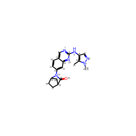 CCn1ncc(Nc2ncc3ccc(N4C(=O)C5CCC4C5)cc3n2)c1C